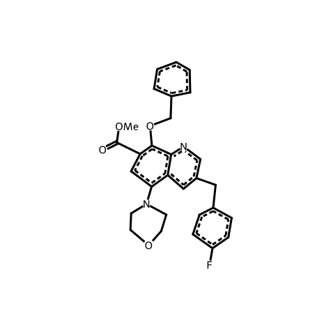 COC(=O)c1cc(N2CCOCC2)c2cc(Cc3ccc(F)cc3)cnc2c1OCc1ccccc1